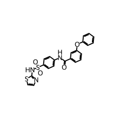 O=C(Nc1ccc(S(=O)(=O)Nc2nccs2)cc1)c1cccc(Oc2ccccc2)c1